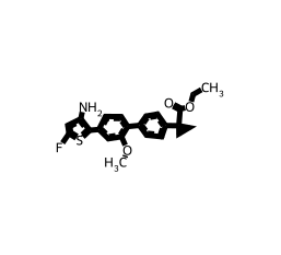 CCOC(=O)C1(c2ccc(-c3ccc(-c4sc(F)cc4N)cc3OC)cc2)CC1